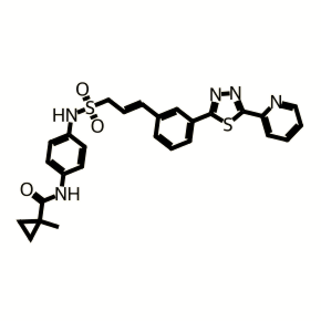 CC1(C(=O)Nc2ccc(NS(=O)(=O)CC=Cc3cccc(-c4nnc(-c5ccccn5)s4)c3)cc2)CC1